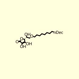 CCCCCCCCCCCCCCCCCCOCC(O)[C@H]1OC(=O)C(O)=C1O